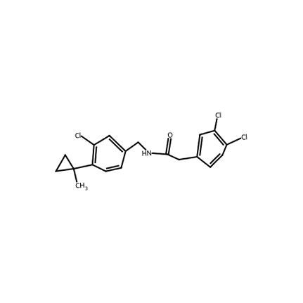 CC1(c2ccc(CNC(=O)Cc3ccc(Cl)c(Cl)c3)cc2Cl)CC1